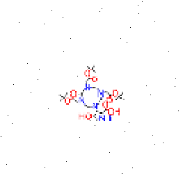 CC(C)(C)OC(=O)CN1CCN(CC(=O)OC(C)(C)C)CCN([C@H]2[C@@H](C(=O)O)NC[C@@H]2O)CCN(CC(=O)OC(C)(C)C)CC1